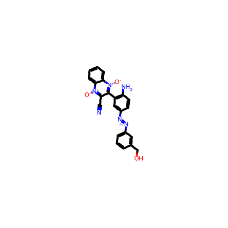 N#Cc1c(-c2cc(/N=N/c3cccc(CO)c3)ccc2N)[n+]([O-])c2ccccc2[n+]1[O-]